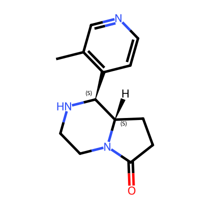 Cc1cnccc1[C@@H]1NCCN2C(=O)CC[C@@H]12